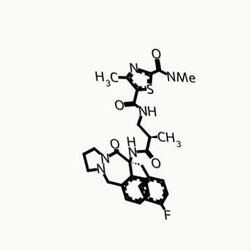 CNC(=O)c1nc(C)c(C(=O)NC[C@@H](C)C(=O)N[C@]2(Cc3ccc(F)cc3)C(=O)N3CCCN3Cc3ccccc32)s1